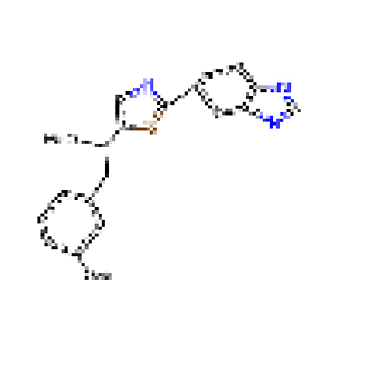 COc1cccc(CC(OC)c2cnc(-c3ccc4[nH]cnc4c3)s2)c1